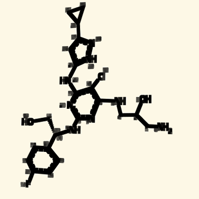 NCC(O)CNc1nc(N[C@@H](CO)c2ccc(F)cc2)nc(Nc2cc(C3CC3)n[nH]2)c1Cl